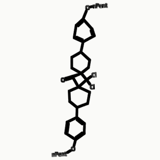 CCCCCOc1ccc(C2CCC3(CC2)C(=O)C2(CCC(c4ccc(OCCCCC)cc4)CC2)C3(Cl)Cl)cc1